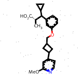 COc1cc(C2CC(COc3cccc(C(C4CC4)[C@H](C)C(=O)O)c3)C2)ccn1